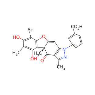 CC(=O)c1c(O)c(C)c(O)c2c1OC1=Cc3c(c(C)nn3-c3cccc(C(=O)O)c3)C(=O)[C@@]12C